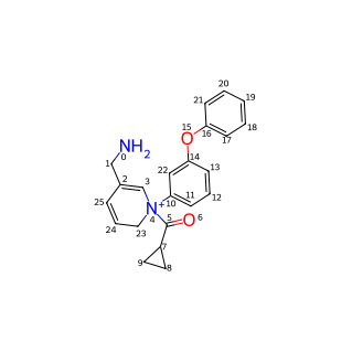 NCC1=C[N+](C(=O)C2CC2)(c2cccc(Oc3ccccc3)c2)CC=C1